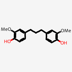 COc1cc(CCCc2ccc(O)c(OC)c2)ccc1O